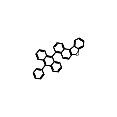 c1ccc(-c2c3ccccc3c(-c3cccc4c3ccc3oc5ccccc5c34)c3ccccc23)cc1